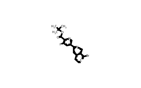 CC(C)(C)OC(=O)c1ncc(-c2cc3cccc(Br)c3cn2)cc1F